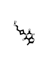 CCOCCC1CC(n2c(=O)[nH]c3scc(C)c3c2=O)C1